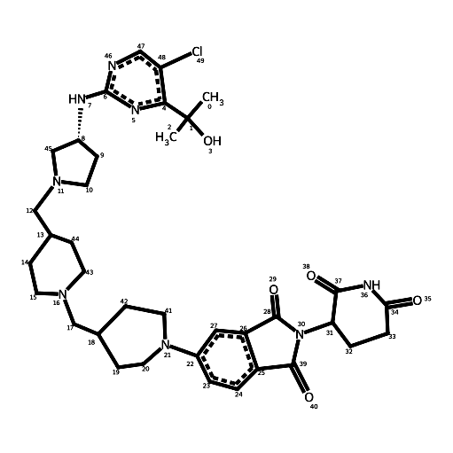 CC(C)(O)c1nc(N[C@@H]2CCN(CC3CCN(CC4CCN(c5ccc6c(c5)C(=O)N(C5CCC(=O)NC5=O)C6=O)CC4)CC3)C2)ncc1Cl